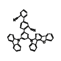 N#Cc1ccccc1-c1ccc(-c2cc(-n3c4ccccc4c4ccccc43)cc(-n3c4ccccc4c4c5oc6ccccc6c5ccc43)c2)c(C#N)c1